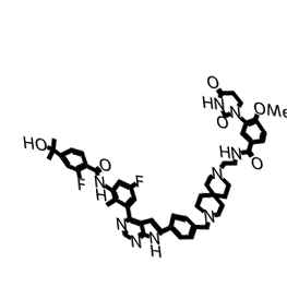 COc1ccc(C(=O)NCCN2CCC3(CC2)CCN(Cc2ccc(-c4cc5c(-c6cc(F)cc(NC(=O)c7ccc(C(C)(C)O)cc7F)c6C)ncnc5[nH]4)cc2)CC3)cc1N1CCC(=O)NC1=O